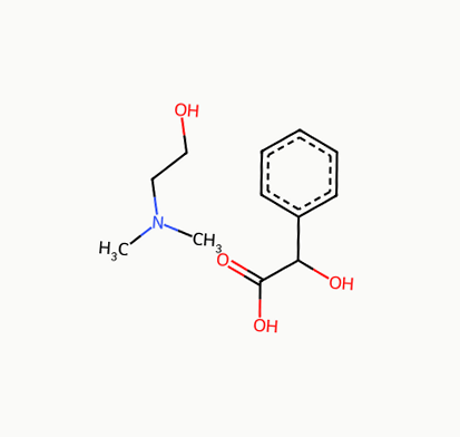 CN(C)CCO.O=C(O)C(O)c1ccccc1